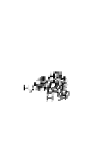 CC(C)(C)NCc1cc(C(C)(C)C)cc(-c2ccc(C(F)(F)F)cc2C(F)(F)F)c1O.Cl